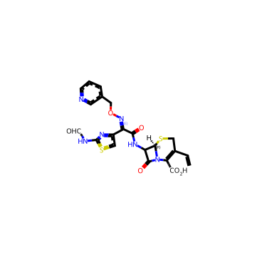 C=CC1=C(C(=O)O)N2C(=O)C(NC(=O)/C(=N/OCc3cccnc3)c3csc(NC=O)n3)[C@H]2SC1